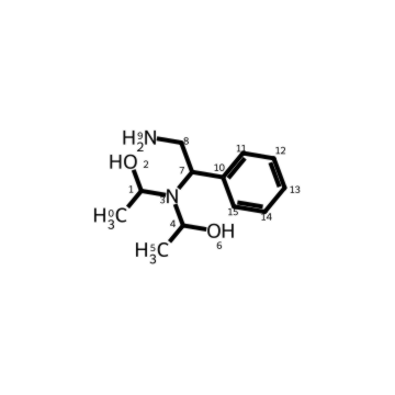 CC(O)N(C(C)O)C(CN)c1ccccc1